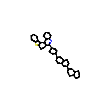 c1ccc2cc(-c3ccc4cc(-c5ccc(-c6nc7ccccc7c7c6ccc6sc8ccccc8c67)cc5)ccc4c3)ccc2c1